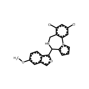 COc1ccc2c(C3NCc4c(Cl)cc(Cl)cc4-n4cccc43)occ2c1